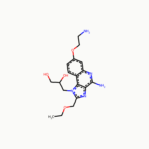 CCOCc1nc2c(N)nc3cc(OCCN)ccc3c2n1CC(O)CO